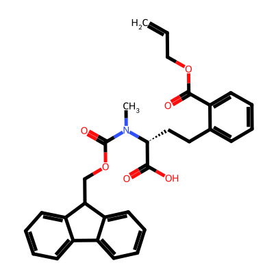 C=CCOC(=O)c1ccccc1CC[C@H](C(=O)O)N(C)C(=O)OCC1c2ccccc2-c2ccccc21